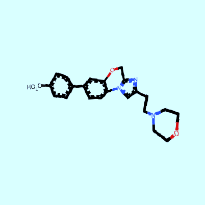 O=C(O)c1ccc(-c2ccc3c(c2)OCc2nc(CCN4CCOCC4)cn2-3)cc1